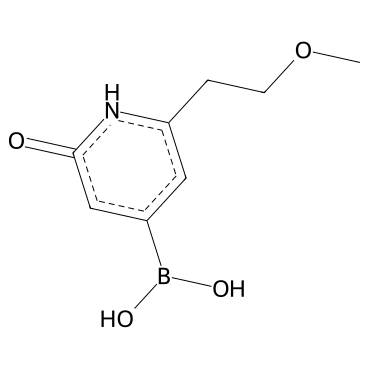 COCCc1cc(B(O)O)cc(=O)[nH]1